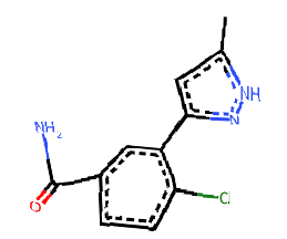 Cc1cc(-c2cc(C(N)=O)ccc2Cl)n[nH]1